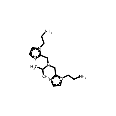 CC(C)N(Cc1nccn1CCN)Cc1nccn1CCN